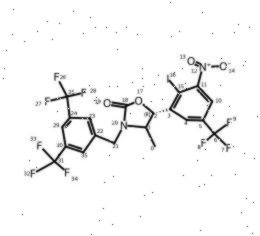 CC1[C@@H](c2cc(C(F)(F)F)cc([N+](=O)[O-])c2I)OC(=O)N1Cc1cc(C(F)(F)F)cc(C(F)(F)F)c1